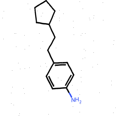 Nc1ccc(CCC2CCCC2)cc1